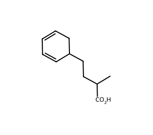 CC(CCC1C=CC=CC1)C(=O)O